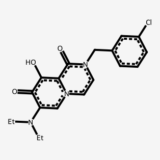 CCN(CC)c1cn2ccn(Cc3cccc(Cl)c3)c(=O)c2c(O)c1=O